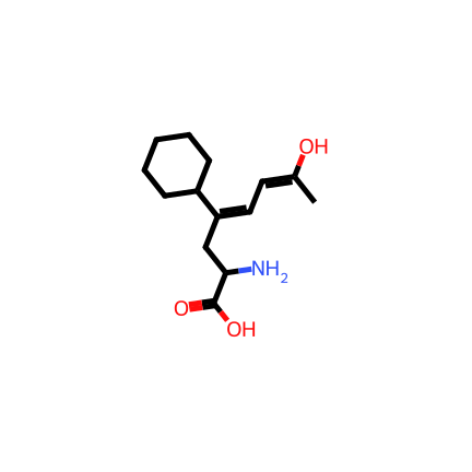 C/C(O)=C\C=C(\CC(N)C(=O)O)C1CCCCC1